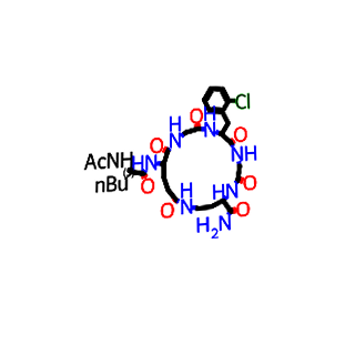 CCCC[C@H](NC(C)=O)C(=O)NC1CCC(=O)NCCC(C(N)=O)NC(=O)CNC(=O)C(Cc2ccccc2Cl)NC(=O)CNC1=O